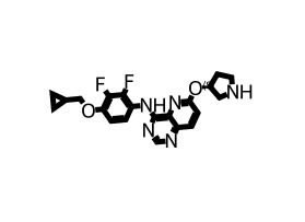 Fc1c(Nc2ncnc3ccc(O[C@H]4CCNC4)nc23)ccc(OCC2CC2)c1F